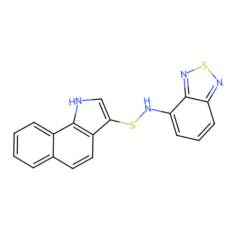 c1ccc2c(c1)ccc1c(SNc3cccc4nsnc34)c[nH]c12